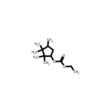 CCOC(=O)OC1CC(C)C(C)(C)C1(C)C